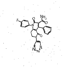 NC(=O)c1c(-c2ccccc2)c2c(n(-c3ccc(F)cc3)c1=O)CCC(c1cnnnc1)C2=O